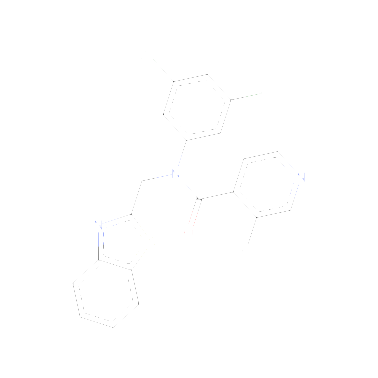 Cc1cnccc1C(=O)N(Cc1nc2ccccc2s1)c1cc(Cl)cc(Cl)c1